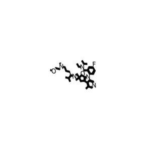 CCN(C(=O)c1cc(F)ccc1-n1c2c(c3c(C)cncc31)CC1(C2)CN([C@H](CCCN(C)CCOC)C(C)C)C1)C(C)C